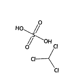 ClC(Cl)Cl.O=S(=O)(O)O